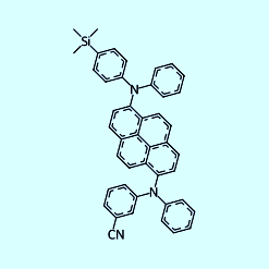 C[Si](C)(C)c1ccc(N(c2ccccc2)c2ccc3ccc4c(N(c5ccccc5)c5cccc(C#N)c5)ccc5ccc2c3c54)cc1